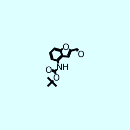 CC(C)(C)OC(=O)Nc1cccc2oc(C=O)cc12